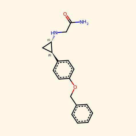 NC(=O)CN[C@H]1C[C@@H]1c1ccc(OCc2ccccc2)cc1